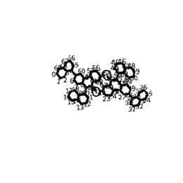 c1ccc2c(-c3ccc4c(-c5cccc6ccccc56)c5oc6ccc7c8cc(-c9cccc%10ccccc9%10)ccc8c(-c8cccc9ccccc89)c8oc9ccc(c4c3)c5c9-c6c87)cccc2c1